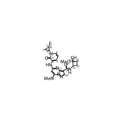 CNc1cc(Nc2cccn(C3C[C@H]3F)c2=O)nc2c(C(=O)NC3CC[C@@]3(C)OC)cnn12